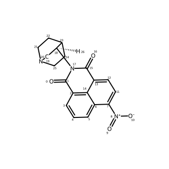 O=C1c2cccc3c([N+](=O)[O-])ccc(c23)C(=O)N1[C@H]1CN2CCC1CC2